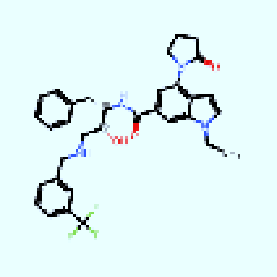 CCn1ccc2c(N3CCCC3=O)cc(C(=O)N[C@@H](Cc3ccccc3)[C@H](O)CNCc3cccc(C(F)(F)F)c3)cc21